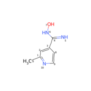 Cc1cc(C(=N)NO)ccn1